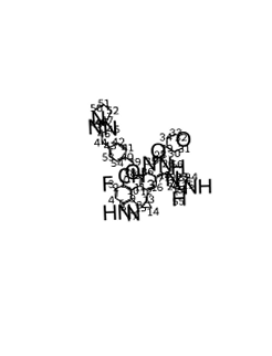 Cc1c(F)cc2[nH]ncc2c1-c1c(C2CC2)cc2c(N3C[C@@H]4C[C@H]3CN4)nc(OC3CCOCC3)nc2c1OCc1ccc(Cc2nc3n(n2)CCC3)cc1